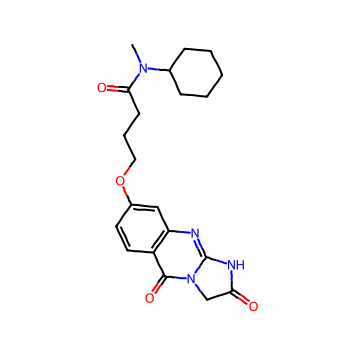 CN(C(=O)CCCOc1ccc2c(=O)n3c(nc2c1)NC(=O)C3)C1CCCCC1